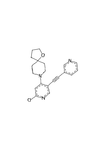 Clc1cc(N2CCC3(CCCO3)CC2)c(C#Cc2cccnc2)cn1